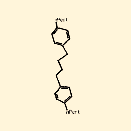 CCCCCc1ccc(CCCCc2ccc(CCCCC)cc2)cc1